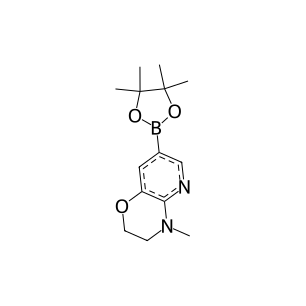 CN1CCOc2cc(B3OC(C)(C)C(C)(C)O3)cnc21